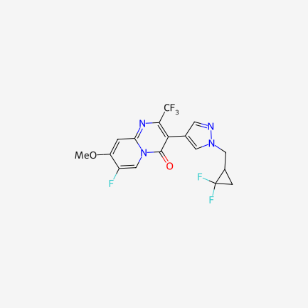 COc1cc2nc(C(F)(F)F)c(-c3cnn(CC4CC4(F)F)c3)c(=O)n2cc1F